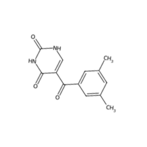 Cc1cc(C)cc(C(=O)c2c[nH]c(=O)[nH]c2=O)c1